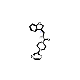 S=C(N/C=C1/COc2ccccc21)N1CCN(c2cnccn2)CC1